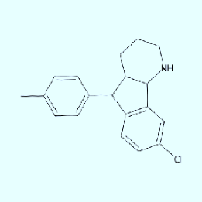 Cc1ccc(C2c3ccc(Cl)cc3C3NCCCC32)cc1